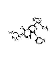 Cc1ncsc1-c1cc2c(=O)n([C@@H](C)CO)cnc2c(-c2cccnc2)n1